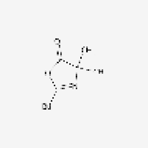 CCC(C)C1=NC(C)(C)C(=O)O1